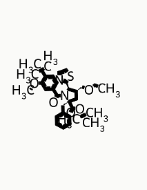 CCOC[C@@H]1C[C@@](Cc2ccccc2)(C(=O)OC(C)(C)C)N(C(=O)c2ccc(C(C)(C)C)c(OC)c2)[C@H]1c1nccs1